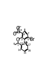 CC(Oc1cc(Br)ccc1[N+](=O)[O-])c1ccccn1